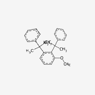 CC(=O)OOc1cccc(C(C)(C)c2ccccc2)c1C(C)(C)c1ccccc1